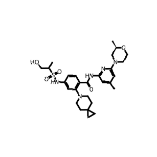 Cc1cc(NC(=O)c2ccc(NS(=O)(=O)C(C)CO)cc2N2CCC3(CC2)CC3)nc(N2CCO[C@H](C)C2)c1